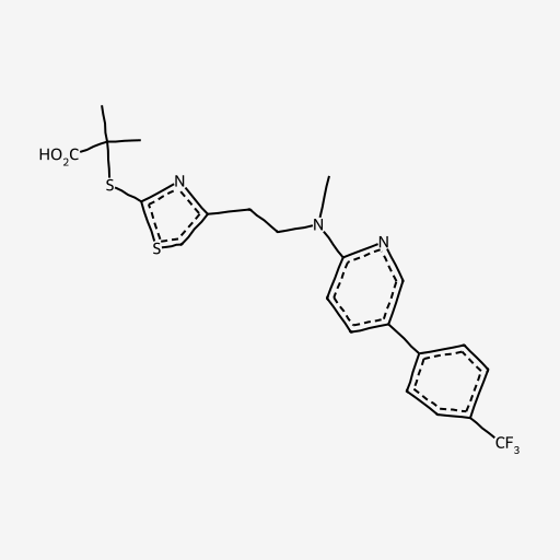 CN(CCc1csc(SC(C)(C)C(=O)O)n1)c1ccc(-c2ccc(C(F)(F)F)cc2)cn1